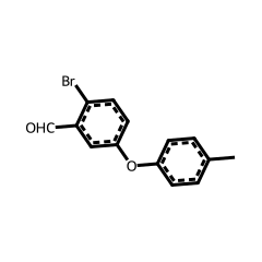 Cc1ccc(Oc2ccc(Br)c(C=O)c2)cc1